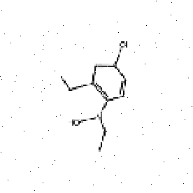 CCc1cc(O)ccc1N(O)CC